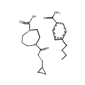 CCCCc1ccc(C(N)=O)cc1.O=C(O)N1CCCN(C(=O)CCC2CC2)CC1